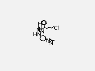 Cc1cn(C2CCCC(Nc3n[nH]c(C(CCCCCl)c4ccccc4)n3)CC2)cn1